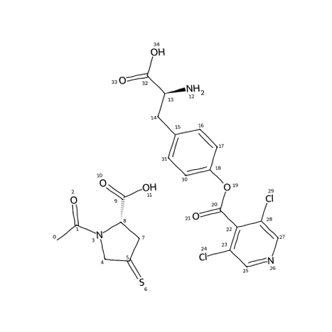 CC(=O)N1CC(=S)C[C@H]1C(=O)O.N[C@@H](Cc1ccc(OC(=O)c2c(Cl)cncc2Cl)cc1)C(=O)O